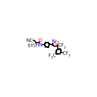 CCSC(CC#N)C(=O)Nc1ccc(C2=NOC(c3cc(C(F)(F)F)cc(C(F)(F)F)c3)(C(F)(F)F)C2)cc1